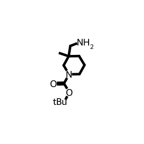 CC1(CN)CCCN(C(=O)OC(C)(C)C)C1